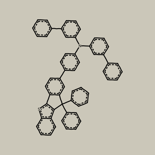 c1ccc(-c2cccc(N(c3ccc(-c4ccc5c(c4)C(c4ccccc4)(c4ccccc4)c4c-5sc5ccccc45)cc3)c3cccc(-c4ccccc4)c3)c2)cc1